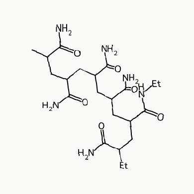 CCNC(=O)C(CC(CC)C(N)=O)CC(CC(CC(CC(C)C(N)=O)C(N)=O)C(N)=O)C(N)=O